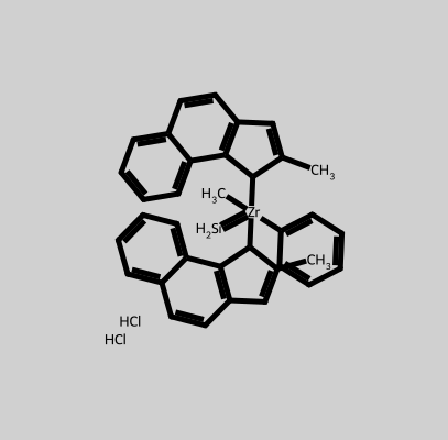 CC1=Cc2ccc3ccccc3c2[CH]1[Zr]([CH3])(=[SiH2])([c]1ccccc1)[CH]1C(C)=Cc2ccc3ccccc3c21.Cl.Cl